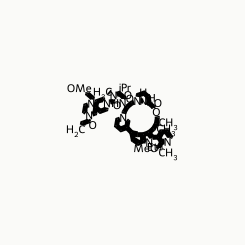 C=CC(=O)N1CCN(CCOC)C2(CCN(C(=O)N(C)[C@H](C(=O)NC3CN4CCC=C(C4)c4ccc5c(c4)c(c(-c4cccnc4[C@H](C)OC)n5CC)CC(C)(C)COC(=O)[C@@H]4CCCN(N4)C3=O)C(C)C)CC2)C1